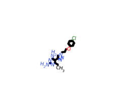 CCc1nc(N)nc(N)c1-c1cn(CCCOc2ccc(Cl)cc2)nn1